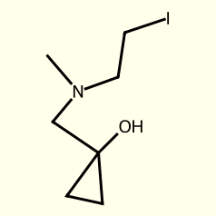 CN(CCI)CC1(O)CC1